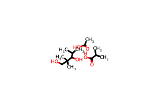 CC(=O)O.CC(C)C(=O)O.CC(C)C(O)C(C)(C)CO